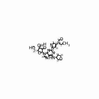 CCN(C=O)c1cnn(-c2nc(N[C@@H]3CCOC3)c3ncn([C@@H]4O[C@H](CO)[C@@H](O)[C@H]4O)c3n2)c1